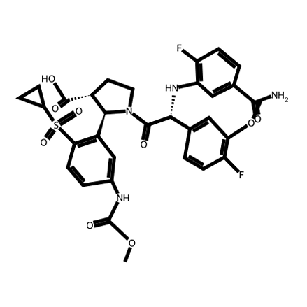 COC(=O)Nc1ccc(S(=O)(=O)C2CC2)c([C@H]2[C@H](C(=O)O)CCN2C(=O)[C@H](Nc2cc(C(N)=O)ccc2F)c2ccc(F)c(OC)c2)c1